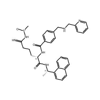 C[C@H](NC(=O)[C@H](CCCC(=N)N[S+](C)[O-])NC(=O)c1ccc(CNCc2ccccn2)cc1)c1cccc2ccccc12